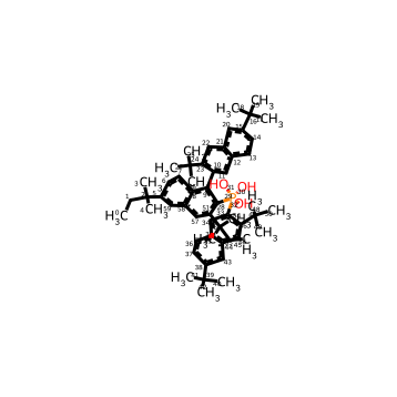 CCC(C)(C)c1ccc2c(-c3cc4ccc(C(C)(C)C)cc4cc3C(C)(C)C)c(P(O)(O)(O)c3cc4ccc(C(C)(C)C)cc4cc3C(C)(C)C)c(C(C)(C)CC)cc2c1